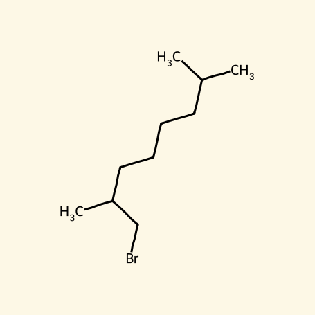 CC(C)CCCCC(C)CBr